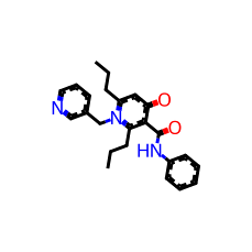 CCCc1cc(=O)c(C(=O)Nc2ccccc2)c(CCC)n1Cc1cccnc1